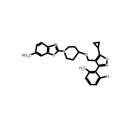 Cc1cccc(Cl)c1-c1noc(C2CC2)c1COC1CCN(c2nc3ccc(C(=O)O)cc3s2)CC1